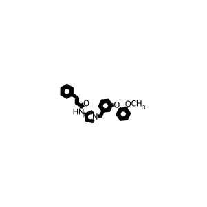 COc1ccccc1Oc1cccc(CN2CC[C@@H](NC(=O)C=Cc3ccccc3)C2)c1